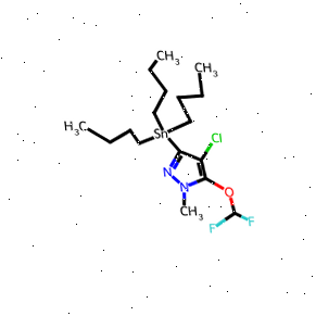 CCC[CH2][Sn]([CH2]CCC)([CH2]CCC)[c]1nn(C)c(OC(F)F)c1Cl